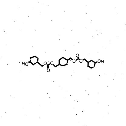 O=C(OCC1CCC(COC(=O)OCC2CCCC(O)C2)CC1)OCC1CCCC(O)C1